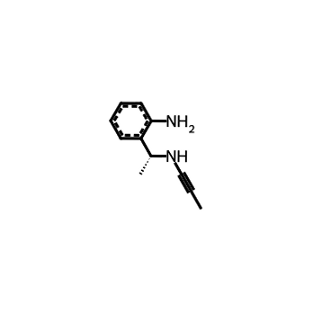 CC#CN[C@H](C)c1ccccc1N